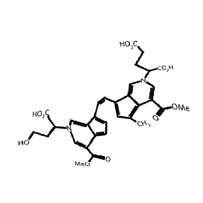 COC(=O)c1cn(C(CCO)C(=O)O)cc2c(/C=C\c3cc(C)c4c(C(=O)OC)cn(C(CCC(=O)O)C(=O)O)cc3-4)ccc1-2